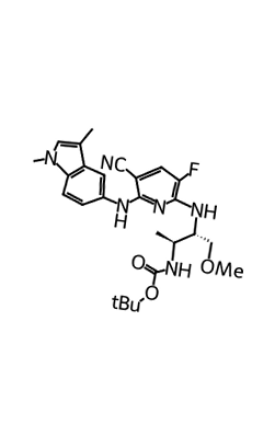 COC[C@@H](Nc1nc(Nc2ccc3c(c2)c(C)cn3C)c(C#N)cc1F)[C@H](C)NC(=O)OC(C)(C)C